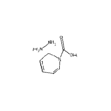 NN.O=C(O)N1C=CC=CC1